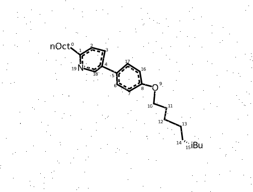 CCCCCCCCc1ccc(-c2ccc(OCCCCC[C@@H](C)CC)cc2)cn1